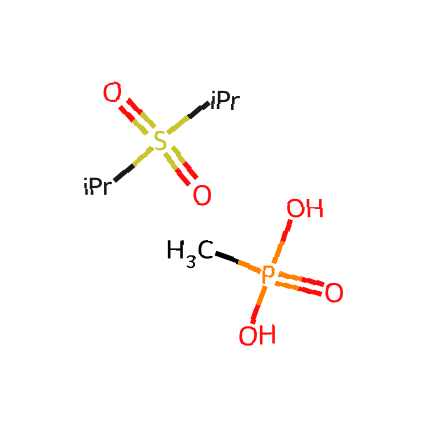 CC(C)S(=O)(=O)C(C)C.CP(=O)(O)O